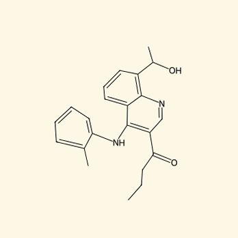 CCCC(=O)c1cnc2c(C(C)O)cccc2c1Nc1ccccc1C